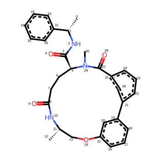 C[C@H](NC(=O)[C@@H]1CCC(=O)N[C@@H](C)COc2cccc(c2)-c2cccc(c2)C(=O)N1C)c1ccccc1